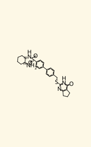 N[C@H]1CCCC[C@@H]1NS(=O)(=O)c1ccc(-c2ccc(CSc3nc4c(c(=O)[nH]3)CCC4)cc2)cc1